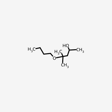 CCCCOC(C)(C)CC(C)O